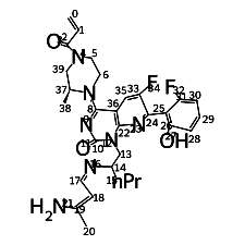 C=CC(=O)N1CCN(c2nc(=O)n(CC(CCC)/N=C\C=C(\C)N)c3nc(-c4c(O)cccc4F)c(F)cc23)[C@@H](C)C1